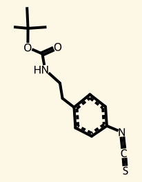 CC(C)(C)OC(=O)NCCc1ccc(N=C=S)cc1